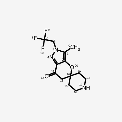 Cc1c2c(nn1CC(F)(F)F)C(=O)CC1(CCNCC1)O2